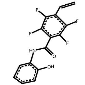 C=Cc1c(F)c(F)c(C(=O)Nc2ccccc2O)c(F)c1F